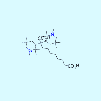 CN1CC(C)(C)CC(C(CCCCCCCC(=O)O)(C(=O)O)C2CC(C)(C)CN(C)C2(C)C)C1(C)C